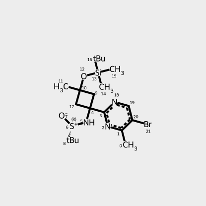 Cc1nc(C2(N[S@@+]([O-])C(C)(C)C)CC(C)(O[Si](C)(C)C(C)(C)C)C2)ncc1Br